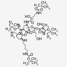 C[C@@H]([C@@H](O)[C@H](OCCO)O[C@@H]1[C@@H](O)[C@H](O[C@H]2OC(CN)=CC[C@H]2NCCCCNC(=O)OC(C)(C)C)[C@@H](NC(=O)OC(C)(C)C)C[C@H]1NC(=O)[C@@H](O)CCNC(=O)OC(C)(C)C)N(C)C(=O)OC(C)(C)C